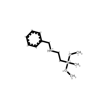 CO[Si](C)(CCNCc1ccccc1)OC